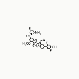 COc1cc(C(=O)N2C[C@H](N)C[C@@H](F)C2)cc2nc(-c3cc4ccc(-c5cc(F)c(O)cc5F)cc4n3CC3CC3)n(C)c12